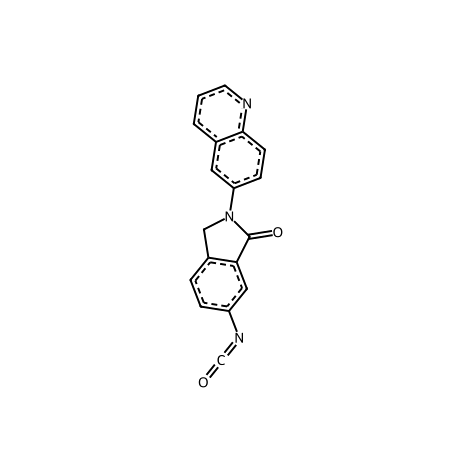 O=C=Nc1ccc2c(c1)C(=O)N(c1ccc3ncccc3c1)C2